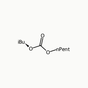 CCCCCOC(=O)O[C@H](C)CC